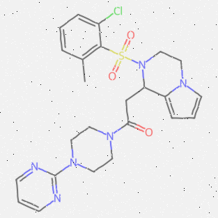 Cc1cccc(Cl)c1S(=O)(=O)N1CCn2cccc2C1CC(=O)N1CCN(c2ncccn2)CC1